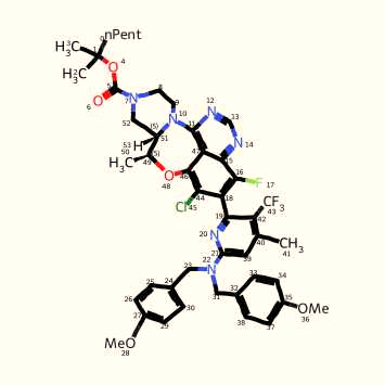 CCCCCC(C)(C)OC(=O)N1CCN2c3ncnc4c(F)c(-c5nc(N(Cc6ccc(OC)cc6)Cc6ccc(OC)cc6)cc(C)c5C(F)(F)F)c(Cl)c(c34)O[C@@H](C)[C@@H]2C1